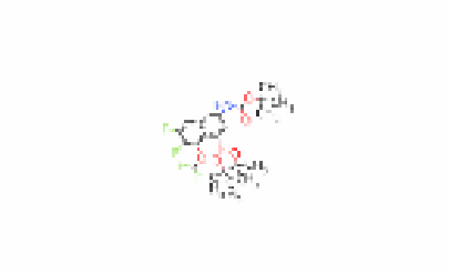 CC(C)(C)OC(=O)Nc1cc(B2OC(C)(C)C(C)(C)O2)c2c(OC(F)F)c(F)c(F)cc2c1